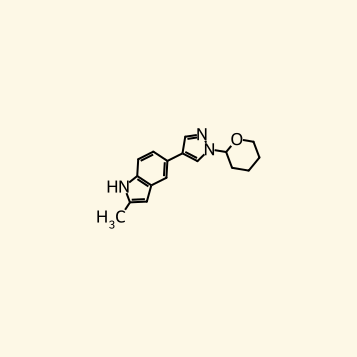 Cc1cc2cc(-c3cnn(C4CCCCO4)c3)ccc2[nH]1